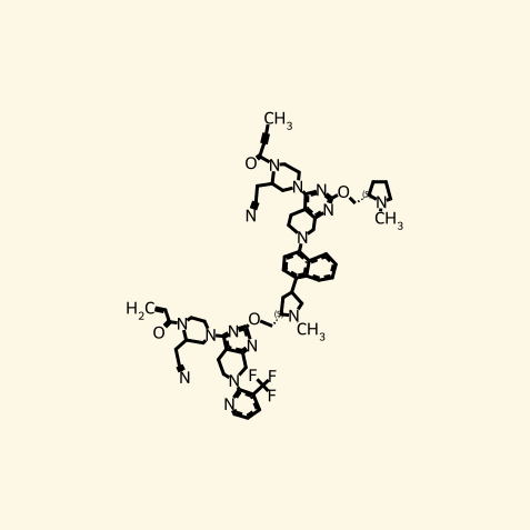 C=CC(=O)N1CCN(c2nc(OC[C@@H]3CC(c4ccc(N5CCc6c(nc(OC[C@@H]7CCCN7C)nc6N6CCN(C(=O)C#CC)C(CC#N)C6)C5)c5ccccc45)CN3C)nc3c2CCN(c2ncccc2C(F)(F)F)C3)CC1CC#N